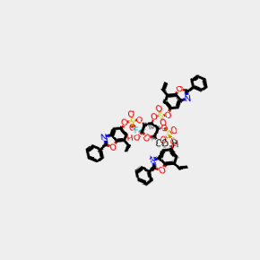 C=Cc1cc(OS(=O)(=O)O[C@H]2[C@H](OS(=O)(=O)Oc3cc(C=C)c4oc(-c5ccccc5)nc4c3)[C@@H](OS(=O)(=O)Oc3cc(C=C)c4oc(-c5ccccc5)nc4c3)C(O)(F)O[C@@H]2C(=O)O)cc2nc(-c3ccccc3)oc12